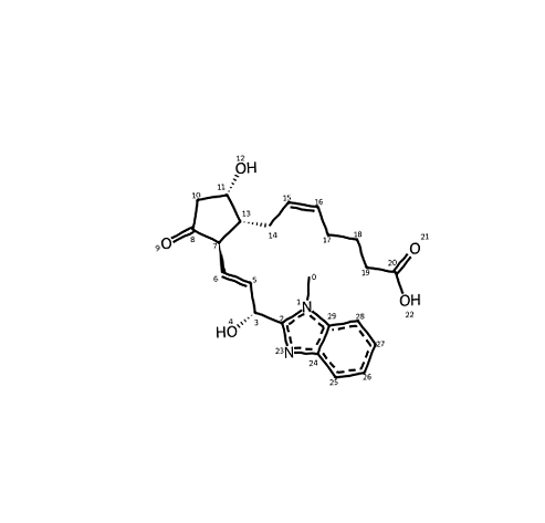 Cn1c([C@H](O)/C=C/[C@H]2C(=O)C[C@H](O)[C@@H]2C/C=C\CCCC(=O)O)nc2ccccc21